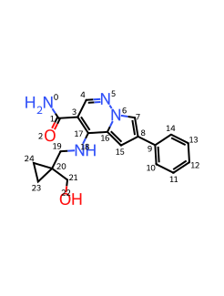 NC(=O)c1cnn2cc(-c3ccccc3)cc2c1NCC1(CO)CC1